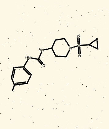 Cc1ccc(NC(=O)NC2CCN(S(=O)(=O)C3CC3)CC2)cc1